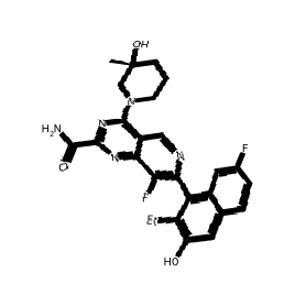 CCc1c(O)cc2ccc(F)cc2c1-c1ncc2c(N3CCC[C@@](C)(O)C3)nc(C(N)=O)nc2c1F